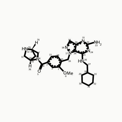 COc1cc(C(=O)N2C[C@@H]3C[C@H]2CN3)ccc1Cn1ncc2nc(N)nc(NCC3CCCCC3)c21